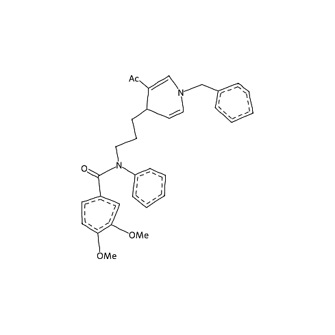 COc1ccc(C(=O)N(CCCC2C=CN(Cc3ccccc3)C=C2C(C)=O)c2ccccc2)cc1OC